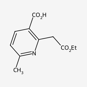 CCOC(=O)Cc1nc(C)ccc1C(=O)O